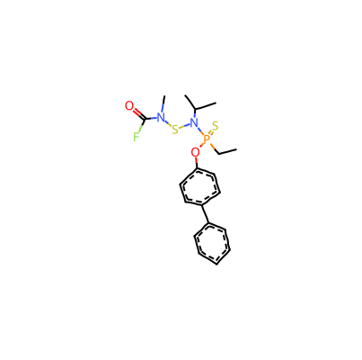 CCP(=S)(Oc1ccc(-c2ccccc2)cc1)N(SN(C)C(=O)F)C(C)C